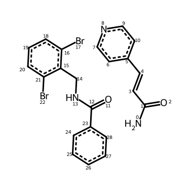 NC(=O)/C=C/c1ccncc1.O=C(NCc1c(Br)cccc1Br)c1ccccc1